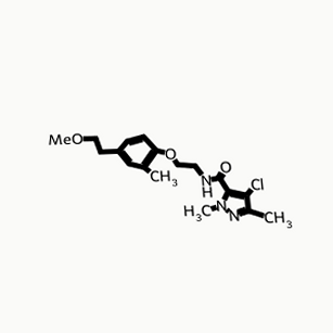 COCCc1ccc(OCCNC(=O)c2c(Cl)c(C)nn2C)c(C)c1